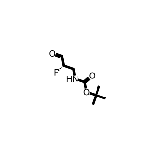 CC(C)(C)OC(=O)NC[C@H](F)C=O